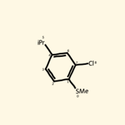 CSc1ccc(C(C)C)cc1Cl